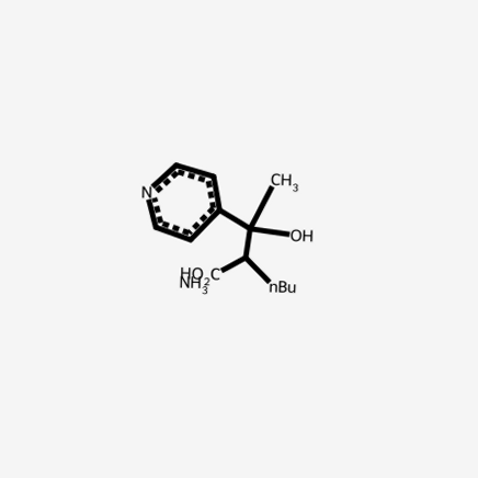 CCCCC(C(=O)O)C(C)(O)c1ccncc1.N